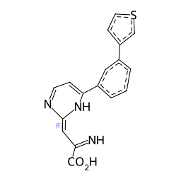 N=C(/C=C1/N=CC=C(c2cccc(-c3ccsc3)c2)N1)C(=O)O